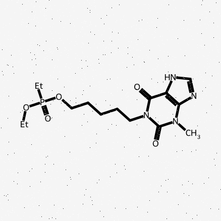 CCOP(=O)(CC)OCCCCCn1c(=O)c2[nH]cnc2n(C)c1=O